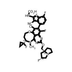 CN1c2nc(OC[C@@]34CCCN3C[C@H](F)C4)nc3c(F)c(-c4ccc(F)c5sc(NC(=O)O)c(C#N)c45)c(Cl)c(c23)OCC[C@H]1C1(F)CC1